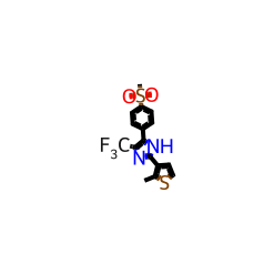 Cc1sccc1-c1nc(C(F)(F)F)c(-c2ccc(S(C)(=O)=O)cc2)[nH]1